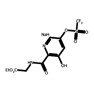 CCOC(=O)CNC(=O)c1ncc(OS(=O)(=O)C(F)(F)F)cc1O.[NaH]